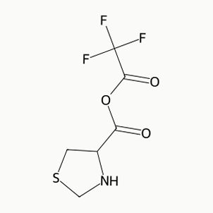 O=C(OC(=O)C(F)(F)F)C1CSCN1